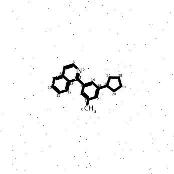 Cc1cc(-c2nccc3ccccc23)cc(C2CCCC2)c1